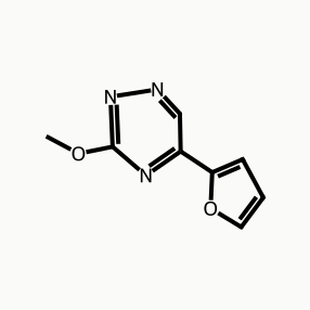 COc1nncc(-c2ccco2)n1